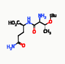 C[C@@H](OC(C)(C)C)[C@H](N)C(=O)N[C@@H](CCC(N)=O)C(=O)O